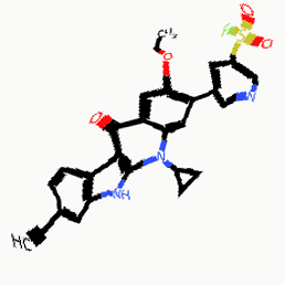 C#Cc1ccc2c(c1)[nH]c1c2c(=O)c2cc(OCC)c(-c3cncc(S(=O)(=O)F)c3)cc2n1C1CC1